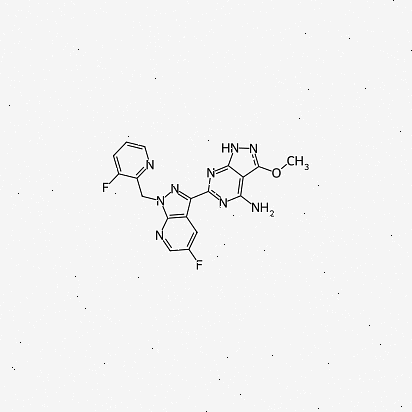 COc1n[nH]c2nc(-c3nn(Cc4ncccc4F)c4ncc(F)cc34)nc(N)c12